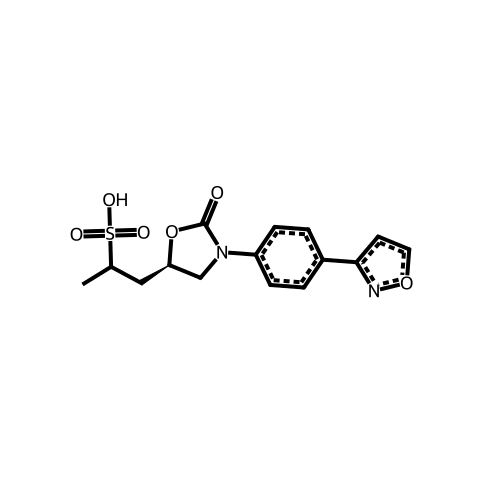 CC(C[C@@H]1CN(c2ccc(-c3ccon3)cc2)C(=O)O1)S(=O)(=O)O